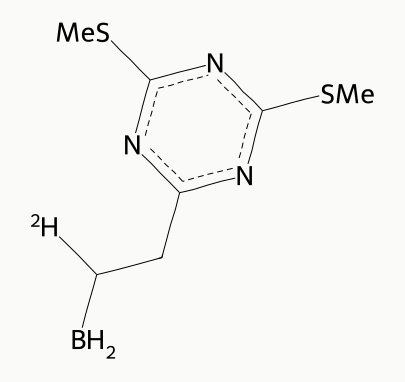 [2H]C(B)Cc1nc(SC)nc(SC)n1